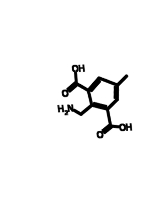 Cc1cc(C(=O)O)c(CN)c(C(=O)O)c1